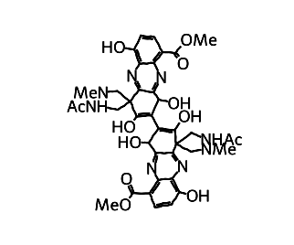 CNCC1(CNC(C)=O)C(O)=C(C2=C(O)C(CNC)(CNC(C)=O)c3nc4c(O)ccc(C(=O)OC)c4nc3C2O)C(O)c2nc3c(C(=O)OC)ccc(O)c3nc21